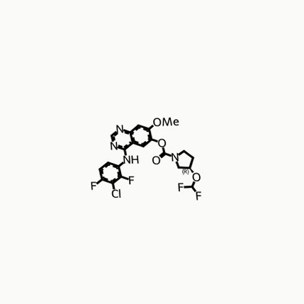 COc1cc2ncnc(Nc3ccc(F)c(Cl)c3F)c2cc1OC(=O)N1CC[C@@H](OC(F)F)C1